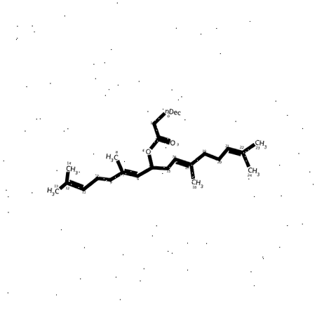 CCCCCCCCCCCC(=O)OC(/C=C(\C)CCC=C(C)C)C/C=C(\C)CCC=C(C)C